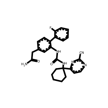 N#Cc1nccc(C2(NC(=O)Nc3cc(CC(N)=O)ccc3-c3ccccc3F)CCCCC2)n1